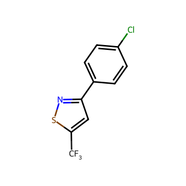 FC(F)(F)c1cc(-c2ccc(Cl)cc2)ns1